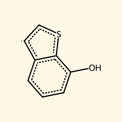 Oc1cccc2[c]csc12